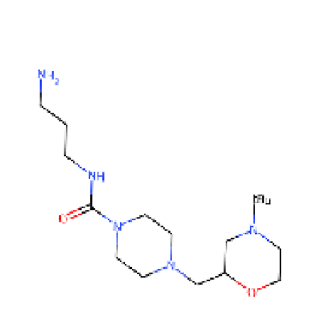 CC(C)(C)N1CCOC(CN2CCN(C(=O)NCCCN)CC2)C1